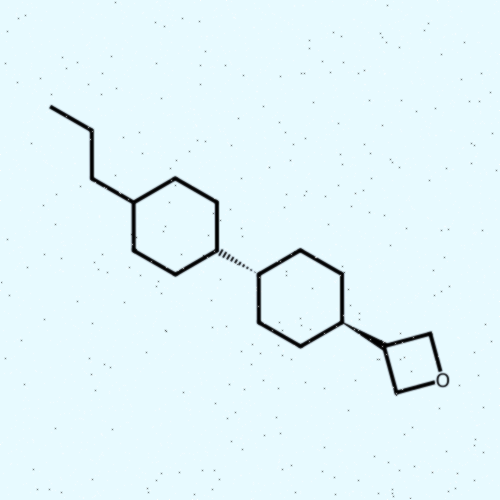 CCCC1CCC([C@H]2CC[C@H](C3COC3)CC2)CC1